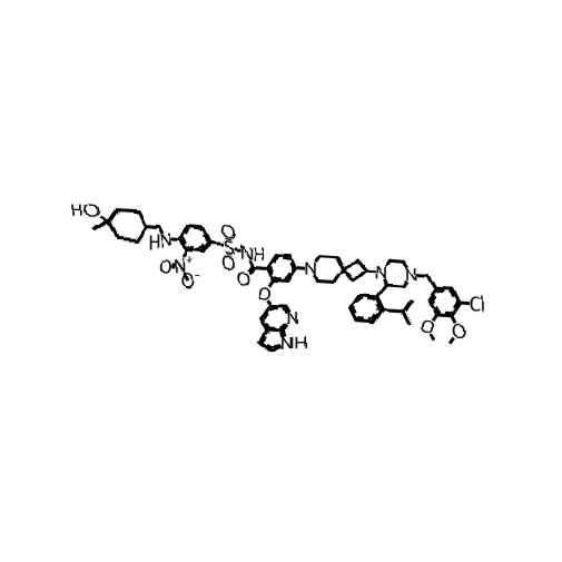 COc1cc(CN2CCN(C3CC4(CCN(c5ccc(C(=O)NS(=O)(=O)c6ccc(NCC7CCC(C)(O)CC7)c([N+](=O)[O-])c6)c(Oc6cnc7[nH]ccc7c6)c5)CC4)C3)C(c3ccccc3C(C)C)C2)cc(Cl)c1OC